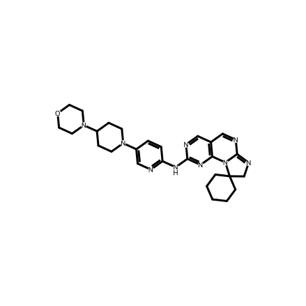 C1=NC2=NCC3(CCCCC3)N2c2nc(Nc3ccc(N4CCC(N5CCOCC5)CC4)cn3)ncc21